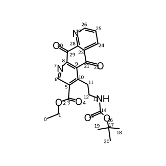 CCOC(=O)c1cnc2c(c1CCNC(=O)OC(C)(C)C)C(=O)c1cccnc1C2=O